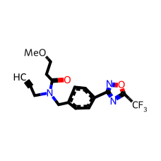 C#CCN(Cc1ccc(-c2noc(C(F)(F)F)n2)cc1)C(=O)CCOC